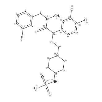 CN(Cc1cccc(F)c1)C(=O)C(CCN1CCC(NS(C)(=O)=O)CC1)c1ccc(Cl)c(Cl)c1